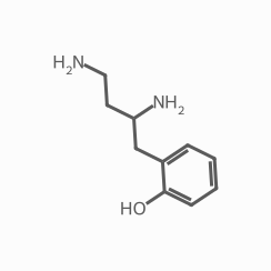 NCCC(N)Cc1ccccc1O